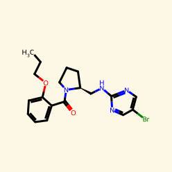 CCCOc1ccccc1C(=O)N1CCC[C@H]1CNc1ncc(Br)cn1